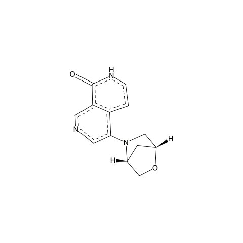 O=c1[nH]ccc2c(N3C[C@H]4C[C@@H]3CO4)cncc12